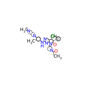 CCC(=O)N1CCC[C@H](n2c(=O)c(-c3ccccc3Cl)c(C)c3cnc(Nc4ccc(N5CC6CN(C)CC6C5)c(C)c4)nc32)C1